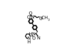 COCCCn1c(=O)oc2ccc(-c3ccc(C[C@@H](C#N)NC(=O)[C@@H]4CCCCN4)cc3)cc21